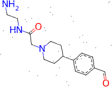 NCCNC(=O)CN1CCC(c2ccc(C=O)cc2)CC1